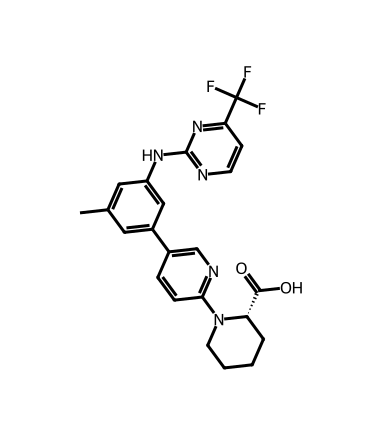 Cc1cc(Nc2nccc(C(F)(F)F)n2)cc(-c2ccc(N3CCCC[C@H]3C(=O)O)nc2)c1